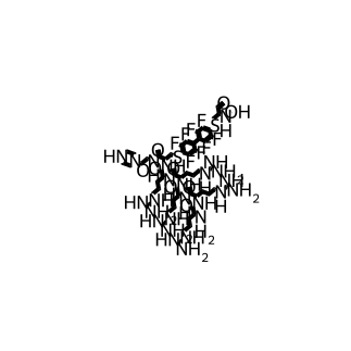 N=C(N)NCCCC(N)C(=O)NC(CCCNC(=N)N)C(=O)NC(CCCNC(=N)N)C(=O)NC(CCCNC(=N)N)C(=O)NC(CCCNC(=N)N)C(=O)NC(CSc1c(F)c(F)c(-c2c(F)c(F)c(SCC(C=O)NO)c(F)c2F)c(F)c1F)C(=O)NCC(=O)N1CCNCC1